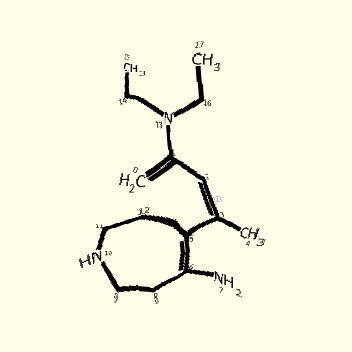 C=C(/C=C(/C)C1=C(N)CCNCC1)N(CC)CC